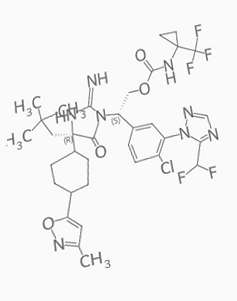 Cc1cc(C2CCC([C@@]3(CC(C)(C)C)NC(=N)N([C@H](COC(=O)NC4(C(F)(F)F)CC4)c4ccc(Cl)c(-n5ncnc5C(F)F)c4)C3=O)CC2)on1